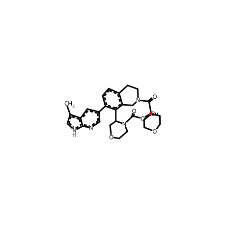 Cc1c[nH]c2ncc(-c3ccc4c(c3C3COCCN3C(=O)OC(C)(C)C)CN(C(=O)C3CCOCC3)CC4)cc12